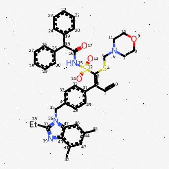 C=C/C(=C(\SCN1CCOCC1)S(=O)(=O)NC(=O)C(c1ccccc1)c1ccccc1)c1ccc(Cn2c(CC)nc3c(C)cc(C)cc32)cc1